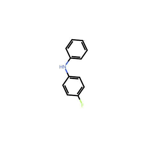 Fc1ccc(Nc2cc[c]cc2)cc1